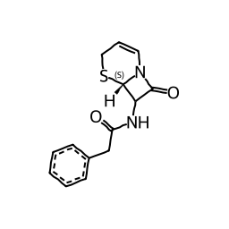 O=C(Cc1ccccc1)NC1C(=O)N2C=CCS[C@@H]12